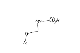 CC(=O)OCNC(=O)O